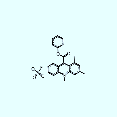 Cc1cc(C)c2c(C(=O)Oc3ccccc3)c3ccccc3[n+](C)c2c1.O=S(=O)([O-])F